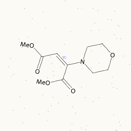 COC(=O)/C=C(\C(=O)OC)N1CCOCC1